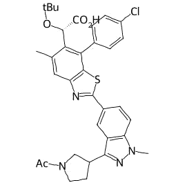 CC(=O)N1CCC(c2nn(C)c3ccc(-c4nc5cc(C)c([C@H](OC(C)(C)C)C(=O)O)c(-c6ccc(Cl)cc6)c5s4)cc23)C1